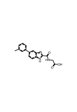 Cc1cccc(-c2ccc3[nH]c(C(=O)NCC(=O)O)nc3c2)c1